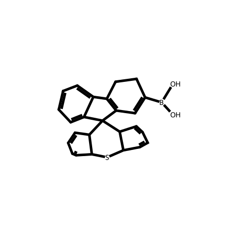 OB(O)C1=CC2=C(CC1)c1ccccc1C21C2C=CC=CC2SC2C=CC=CC21